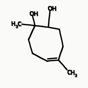 CC1=CCCC(C)(O)C(O)CC1